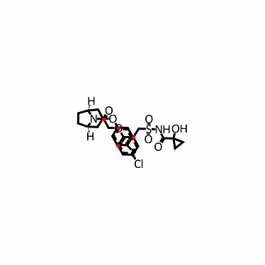 O=C(COc1ccc(Cl)cc1CS(=O)(=O)NC(=O)C1(O)CC1)N1[C@@H]2CC[C@H]1CC(Oc1ccc(F)cc1)C2